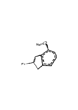 CCC1=Cc2c(cccc2OC)C1